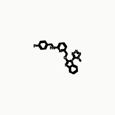 Cn1nnnc1-n1c(OCc2cccc(NCc3ccc(F)cc3)n2)nc2ccccc21